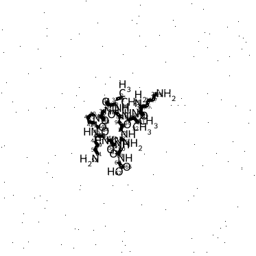 CC(C)C[C@H](NC(=O)[C@H](CCCNC(=N)N)NC(=O)[C@@H](NC(=O)[C@@H](N)CCCCN)C(C)C)C(=O)NCC(=O)N1CCC[C@H]1C(=O)N[C@@H](CCCCN)C(=O)NCC(=O)NCC(=O)NCC(=O)O